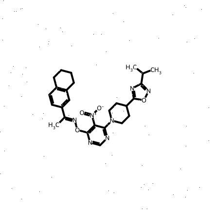 CC(=NOc1ncnc(N2CCC(c3nc(C(C)C)no3)CC2)c1[N+](=O)[O-])c1ccc2c(c1)CCCC2